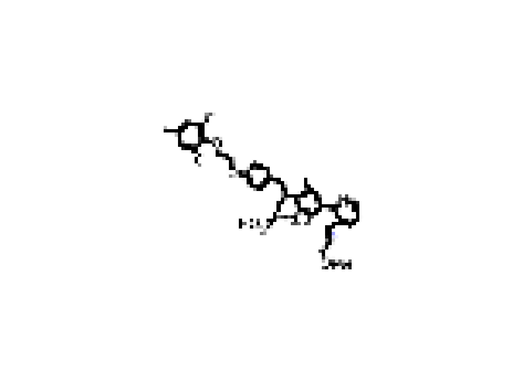 COC/C=C/c1cccnc1-c1ccc(C(Cc2ccc(OCCOc3c(Cl)cc(C)cc3Cl)cc2)CN(C(=O)O)C(C)(C)C)c(C)c1